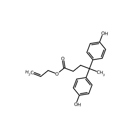 C=CCOC(=O)CCC(C)(c1ccc(O)cc1)c1ccc(O)cc1